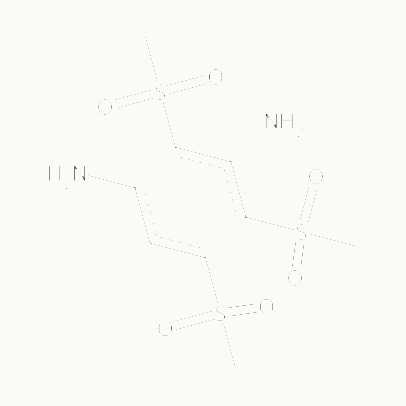 CS(=O)(=O)c1cc(N)c(S(C)(=O)=O)c(N)c1S(C)(=O)=O